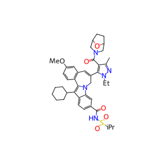 CCn1nc(C)c(C(=O)N2CC3CCC(C2)O3)c1C1=Cc2cc(OC)ccc2-c2c(C3CCCCC3)c3ccc(C(=O)NS(=O)(=O)C(C)C)cc3n2C1